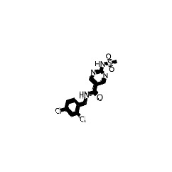 CS(=O)(=O)Nc1ncc(C(=O)NCc2ccc(Cl)cc2Cl)cn1